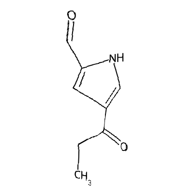 CCC(=O)c1c[nH]c(C=O)c1